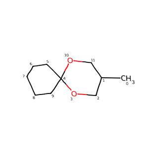 CC1COC2(CCCCC2)OC1